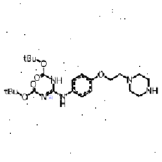 CC(C)(C)OC(=O)/N=C(\NC(=O)OC(C)(C)C)Nc1ccc(OCCN2CCNCC2)cc1